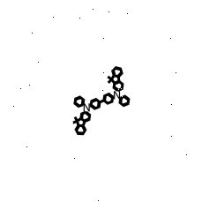 CC1(C)C2=C(CCC(N(C3=CC=C(c4ccc(N(c5ccccc5)c5ccc6c(c5)C(C)(C)c5ccccc5-6)cc4)CC3)c3ccccc3)=C2)c2ccccc21